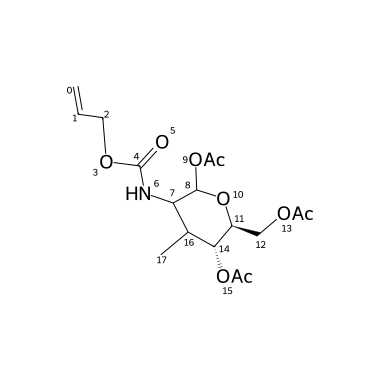 C=CCOC(=O)NC1C(OC(C)=O)O[C@@H](COC(C)=O)[C@H](OC(C)=O)C1C